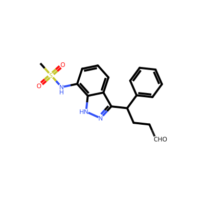 CS(=O)(=O)Nc1cccc2c(C(CCC=O)c3ccccc3)n[nH]c12